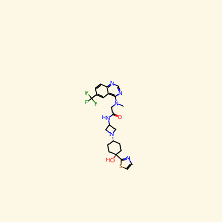 CN(CC(=O)NC1CN([C@H]2CC[C@@](O)(c3nccs3)CC2)C1)c1ncnc2ccc(C(F)(F)F)cc12